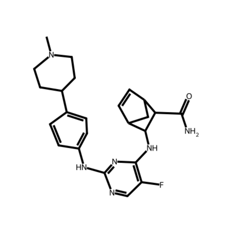 CN1CCC(c2ccc(Nc3ncc(F)c(NC4C5C=CC(C5)C4C(N)=O)n3)cc2)CC1